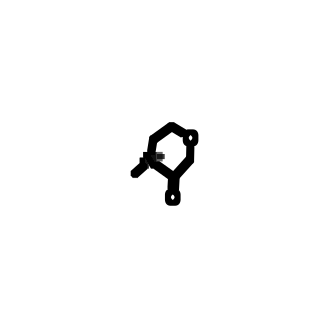 C[N+]1CCOCC1=O